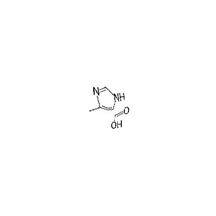 Cc1c[nH]cn1.O=CO